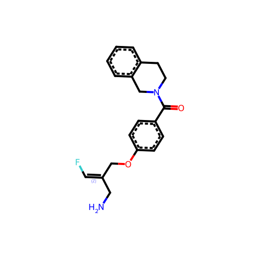 NC/C(=C/F)COc1ccc(C(=O)N2CCc3ccccc3C2)cc1